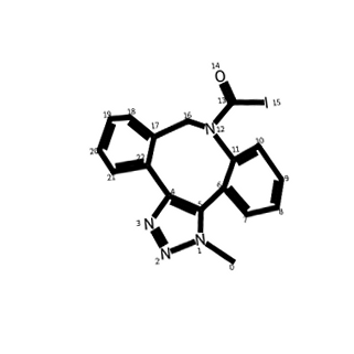 Cn1nnc2c1-c1ccccc1N(C(=O)I)Cc1ccccc1-2